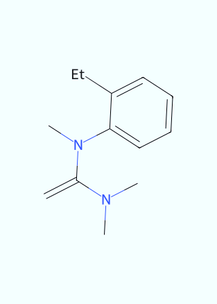 C=C(N(C)C)N(C)c1ccccc1CC